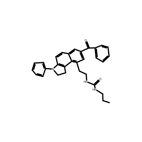 CCCNC(=O)NCCc1cc(C(=O)c2ccccc2)cc2ccc3c(c12)CCN3c1ccccc1